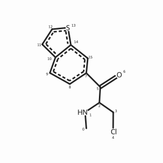 CNC(CCl)C(=O)c1ccc2ccsc2c1